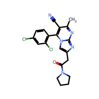 Cc1nc2nc(CC(=O)N3CCCC3)cn2c(-c2ccc(Cl)cc2Cl)c1C#N